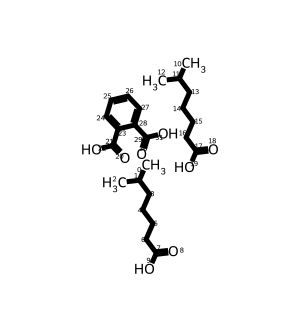 CC(C)CCCCC(=O)O.CC(C)CCCCC(=O)O.O=C(O)c1ccccc1C(=O)O